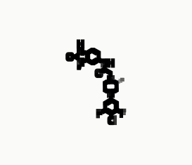 C[C@@H]1CN(c2cc(F)c(Cl)c(F)c2)CCN1CC(=O)Nc1ccc2[nH]c(=O)n(C)c2c1